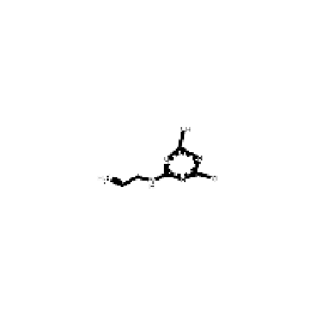 C=CCNc1nc(O)nc(Cl)n1